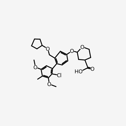 COc1cc(-c2ccc(OC3CC(C(=O)O)CCO3)cc2COC2CCCC2)c(Cl)c(OC)c1C